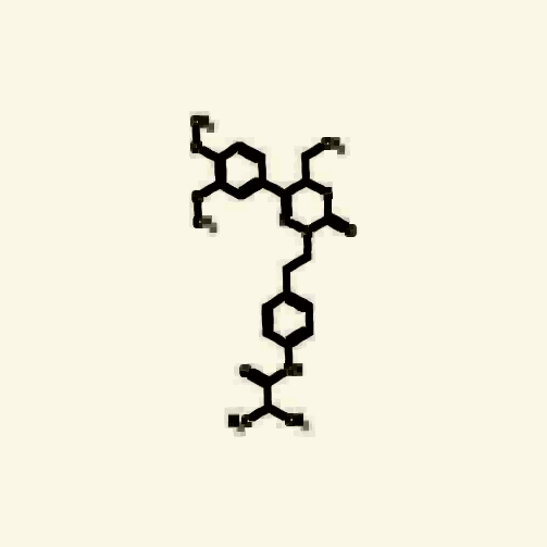 CCC1SC(=O)N(CCc2ccc(NC(=O)C(C)C)cc2)N=C1c1ccc(OC)c(OC)c1